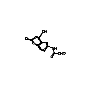 O=CC(=O)Nc1ccc2oc(=O)cc(O)c2c1